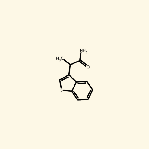 CC(C(N)=O)c1csc2ccccc12